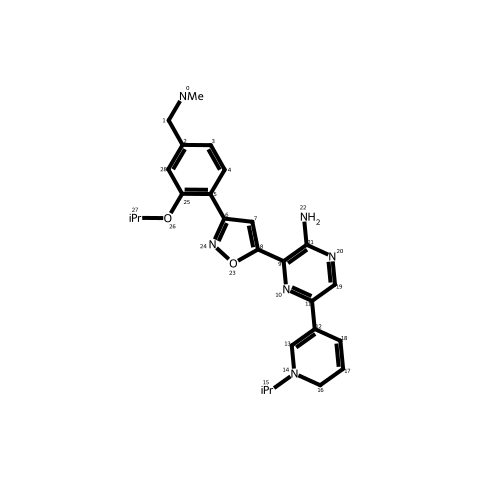 CNCc1ccc(-c2cc(-c3nc(C4=CN(C(C)C)CC=C4)cnc3N)on2)c(OC(C)C)c1